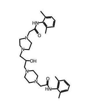 Cc1cccc(C)c1NC(=O)CN1CCN(CC(O)CN2CCN(CC(=O)Nc3c(C)cccc3C)CC2)CC1